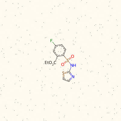 CCOC(=O)c1cc(F)ccc1S(=O)(=O)Nc1nccs1